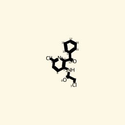 O=C(CCl)Nc1ccc(Cl)nc1C(=O)c1ccccc1